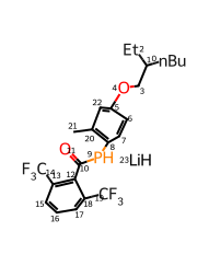 CCCCC(CC)COc1ccc(PC(=O)c2c(C(F)(F)F)cccc2C(F)(F)F)c(C)c1.[LiH]